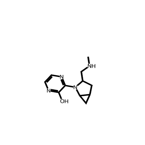 CNCC1CC2CC2N1c1nccnc1O